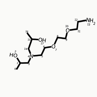 CC(O)CN(CCOCCOCCN)CC(C)O